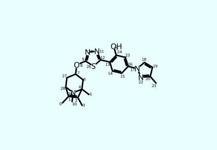 CC1=C(C)C2(C)CC(Oc3nnc(-c4ccc(-n5ccc(C)n5)cc4O)s3)CC1N2C